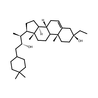 CC[C@]1(O)CC[C@@]2(C)C(=CC[C@@H]3C2CC[C@]2(C)[C@@H]([C@H](C)[C@H](O)CC4CCC(C)(C)CC4)CC[C@@H]32)C1